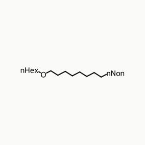 CCCCCCCCCCCCCCCCCOCCCCCC